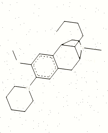 COc1cc2c(cc1N1CCCCC1)C[C@H]1C3CCCC[C@@]23CCN1C